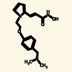 CN(C)Cc1ccc(OCCn2cccc2/C=C/C(=O)NO)cc1